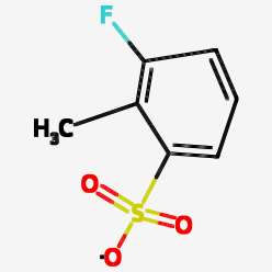 Cc1c(F)cccc1S([O])(=O)=O